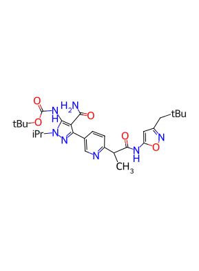 CC(C(=O)Nc1cc(CC(C)(C)C)no1)c1ccc(-c2nn(C(C)C)c(NC(=O)OC(C)(C)C)c2C(N)=O)cn1